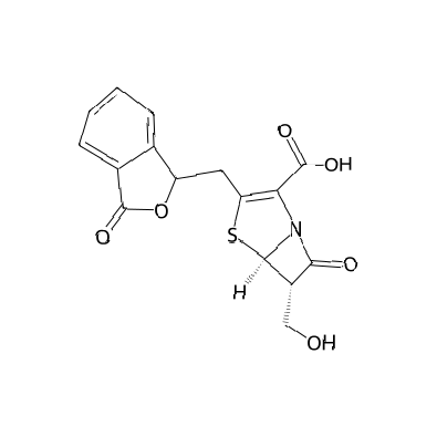 O=C(O)C1=C(CC2OC(=O)c3ccccc32)S[C@@H]2[C@@H](CO)C(=O)N12